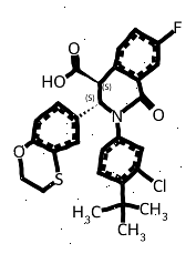 CC(C)(C)c1ccc(N2C(=O)c3cc(F)ccc3[C@H](C(=O)O)[C@H]2c2ccc3c(c2)SCCO3)cc1Cl